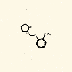 COc1ccccc1OC[C@H]1CCCN1